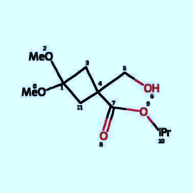 COC1(OC)CC(CO)(C(=O)OC(C)C)C1